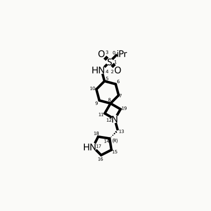 CC(C)S(=O)(=O)NC1CCC2(CC1)CN(C[C@@H]1CCNC1)C2